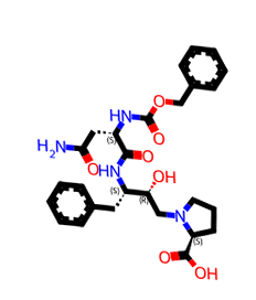 NC(=O)C[C@H](NC(=O)OCc1ccccc1)C(=O)N[C@@H](Cc1ccccc1)[C@H](O)CN1CCC[C@H]1C(=O)O